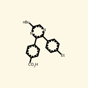 CCCCc1cnc(-c2ccc(CC)cc2)c(-c2ccc(C(=O)O)cc2)n1